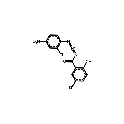 O=C(N=[N+]=Nc1ccc([N+](=O)[O-])cc1Cl)c1cc(Cl)ccc1O